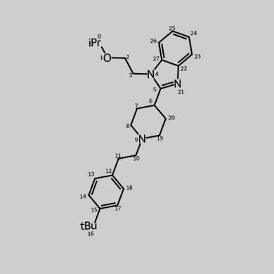 CC(C)OCCn1c(C2CCN(CCc3ccc(C(C)(C)C)cc3)CC2)nc2ccccc21